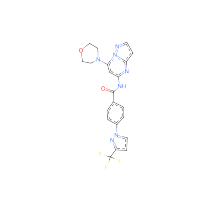 O=C(Nc1cc(N2CCOCC2)n2nccc2n1)c1ccc(-n2ccc(C(F)(F)F)n2)cc1